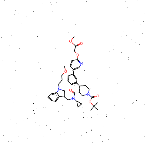 COCCCN1CC(CN(C(=O)[C@H]2CN(C(=O)OC(C)(C)C)CC[C@@H]2c2cccc(-c3ccc(OCC(=O)OC)nc3)c2)C2CC2)c2ccccc21